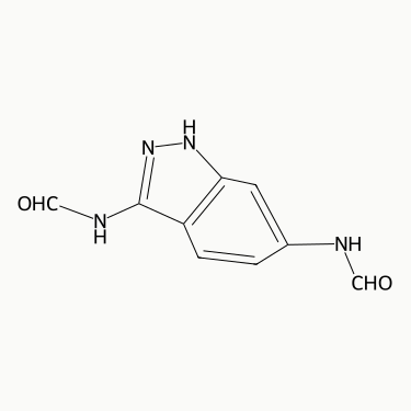 O=CNc1ccc2c(NC=O)n[nH]c2c1